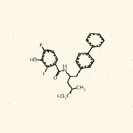 C[C@H](CC(Cc1ccc(-c2ccccc2)cc1)NC(=O)c1ccc(F)c(O)c1F)C(=O)O